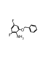 Nc1c(F)cc(F)cc1OCc1ccccc1